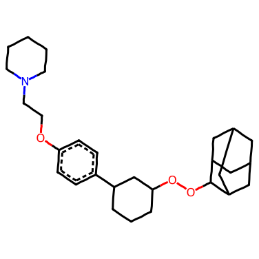 c1cc(C2CCCC(OOC3C4CC5CC(C4)CC3C5)C2)ccc1OCCN1CCCCC1